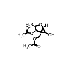 B[C@@H]1O[C@@H]2C(O)[C@]2(COC(C)=O)[C@H]1OC(C)=O